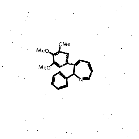 COc1cc(C2=CC=CC=NC2c2ccccc2)cc(OC)c1OC